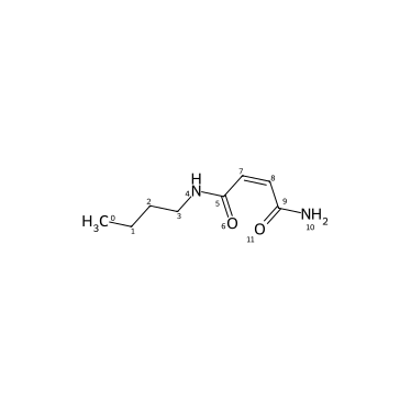 CCCCNC(=O)/C=C\C(N)=O